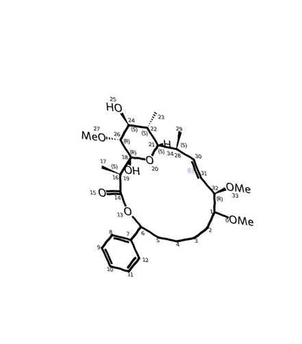 COC1CCCCC(c2ccccc2)OC(=O)[C@@H](C)[C@@]2(O)O[C@H]([C@@H](C)[C@H](O)[C@H]2OC)[C@@H](C)/C=C/[C@H]1OC